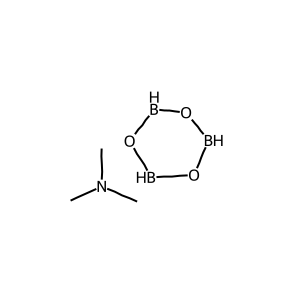 B1OBOBO1.CN(C)C